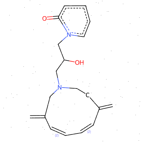 C=C1/C=C\C=C/C(=C)CN(CC(O)Cn2ccccc2=O)CC1